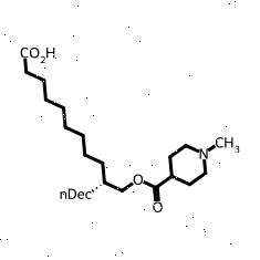 CCCCCCCCCC[C@H](CCCCCCCCC(=O)O)COC(=O)C1CCN(C)CC1